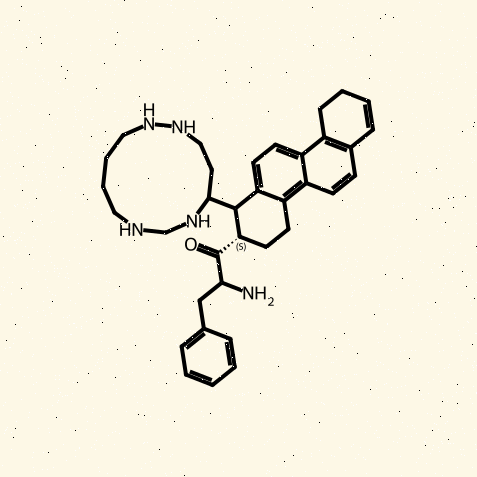 NC(Cc1ccccc1)C(=O)[C@H]1CCc2c(ccc3c4c(ccc23)C=CCC4)C1C1CCNNCCCCNCN1